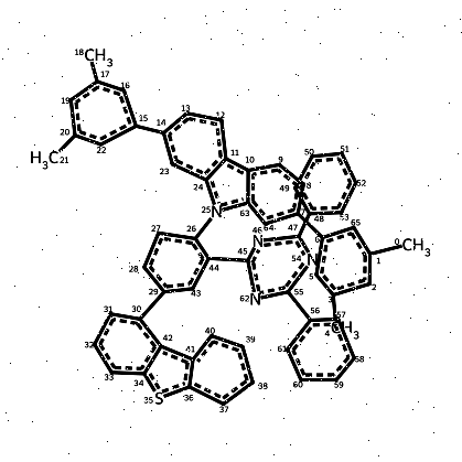 Cc1cc(C)cc(-c2ccc3c4ccc(-c5cc(C)cc(C)c5)cc4n(-c4ccc(-c5cccc6sc7ccccc7c56)cc4-c4nc(-c5ccccc5)nc(-c5ccccc5)n4)c3c2)c1